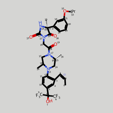 C/C=C\c1cc(C(O)(C(F)(F)F)C(F)(F)F)ccc1N1C[C@@H](C)N(C(=O)CN2C(=O)N[C@@](C)(c3cccc(OC(C)C)c3)C2=O)CC1C